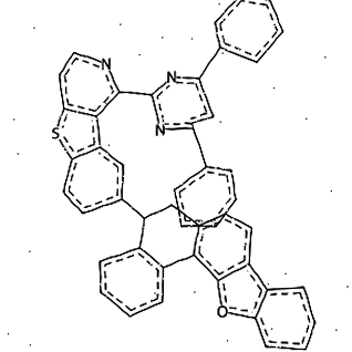 c1ccc(-c2cc(-c3ccccc3)nc(-c3nccc4sc5ccc(C6Cc7ccc8c(oc9ccccc98)c7-c7ccccc76)cc5c34)n2)cc1